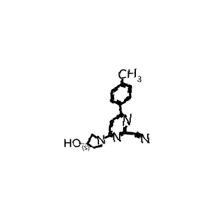 Cc1ccc(-c2cc(N3CC[C@H](O)C3)nc(C#N)n2)cc1